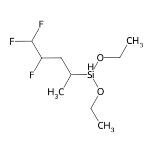 CCO[SiH](OCC)C(C)CC(F)C(F)F